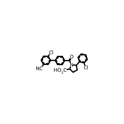 N#Cc1ccc(Cl)c(-c2ccc(C(=O)N3C(C(=O)O)CCC3c3ccccc3Cl)cc2)c1